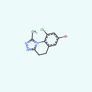 Cc1nnc2n1-c1c(Cl)cc(Br)cc1CC2